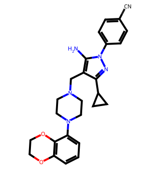 N#Cc1ccc(-n2nc(C3CC3)c(CN3CCN(c4cccc5c4OCCO5)CC3)c2N)cc1